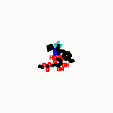 CCOC(=O)OC[C@H]1O[C@@](O)(Oc2nn(C3CCC3)c(C(F)(F)F)c2Cc2ccc(CC)cc2)[C@H](O)[C@@H](O)[C@@H]1O